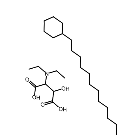 CCCCCCCCCCCCC1CCCCC1.CCN(CC)C(C(=O)O)C(O)C(=O)O